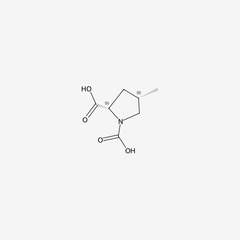 C[C@H]1C[C@@H](C(=O)O)N(C(=O)O)C1